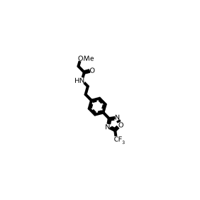 COCC(=O)NCCc1ccc(-c2noc(C(F)(F)F)n2)cc1